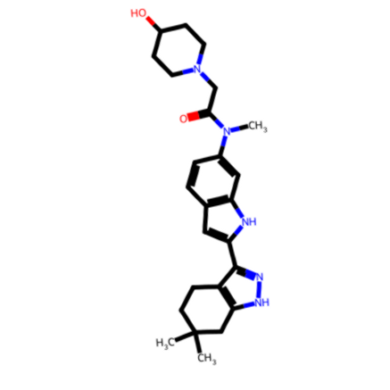 CN(C(=O)CN1CCC(O)CC1)c1ccc2cc(-c3n[nH]c4c3CCC(C)(C)C4)[nH]c2c1